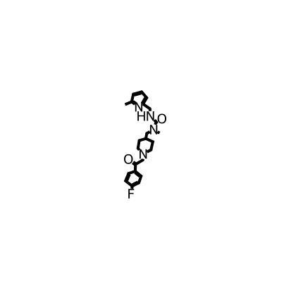 Cc1cccc(CNC(=O)N(C)CC2CCN(CC(=O)c3ccc(F)cc3)CC2)n1